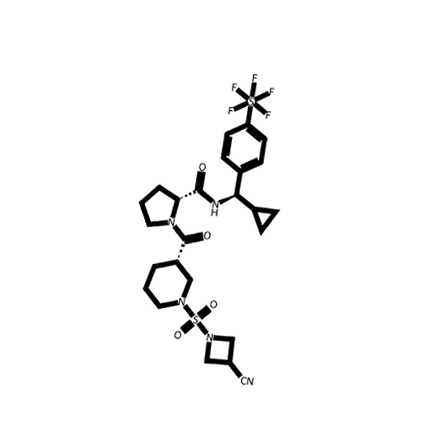 N#CC1CN(S(=O)(=O)N2CCC[C@H](C(=O)N3CCC[C@@H]3C(=O)N[C@@H](c3ccc(S(F)(F)(F)(F)F)cc3)C3CC3)C2)C1